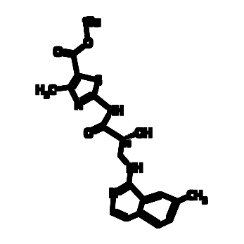 Cc1ccc2ccnc(NC[C@@H](O)C(=O)Nc3nc(C)c(C(=O)OC(C)(C)C)s3)c2c1